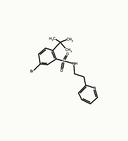 CC(C)(C)c1ccc(Br)cc1S(=O)(=O)NCCc1ccccn1